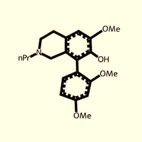 CCCN1CCc2cc(OC)c(O)c(-c3ccc(OC)cc3OC)c2C1